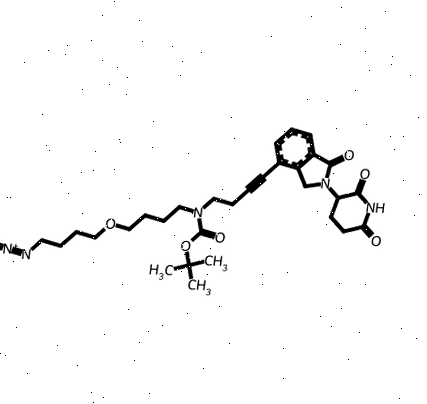 CC(C)(C)OC(=O)N(CCC#Cc1cccc2c1CN(C1CCC(=O)NC1=O)C2=O)CCCCOCCCCN=[N+]=[N-]